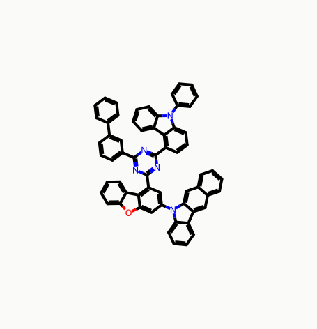 c1ccc(-c2cccc(-c3nc(-c4cc(-n5c6ccccc6c6cc7ccccc7cc65)cc5oc6ccccc6c45)nc(-c4cccc5c4c4ccccc4n5-c4ccccc4)n3)c2)cc1